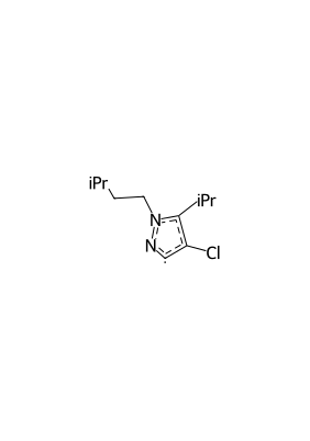 CC(C)CCn1n[c]c(Cl)c1C(C)C